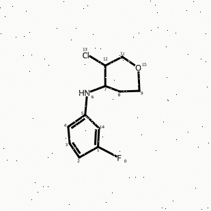 Fc1cccc(NC2CCO[CH]C2Cl)c1